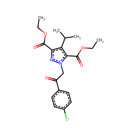 CCOC(=O)c1nn(CC(=O)c2ccc(Cl)cc2)c(C(=O)OCC)c1C(C)C